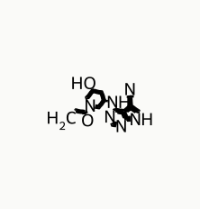 C=CC(=O)N1C[C@@H](O)C[C@@H](Nc2ncnc3[nH]cc(C#N)c23)C1